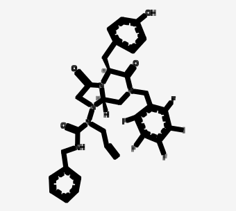 C=CCN(C(=O)NCc1ccccc1)N1CC(=O)N2[C@@H](Cc3ccc(O)cc3)C(=O)N(Cc3c(F)c(F)c(F)c(I)c3F)C[C@@H]21